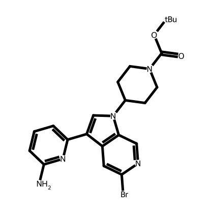 CC(C)(C)OC(=O)N1CCC(n2cc(-c3cccc(N)n3)c3cc(Br)ncc32)CC1